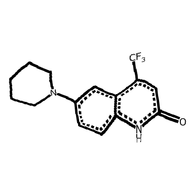 O=c1cc(C(F)(F)F)c2cc(N3CCCCC3)ccc2[nH]1